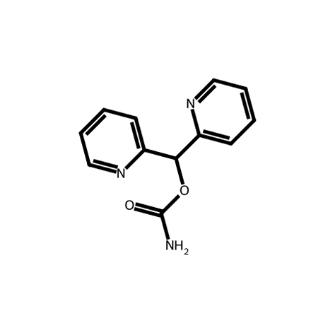 NC(=O)OC(c1ccccn1)c1ccccn1